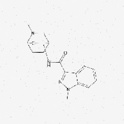 CN1CC2CCC1CC2NC(=O)c1nn(C)c2ccccc12